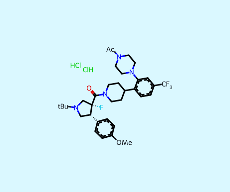 COc1ccc([C@@H]2CN(C(C)(C)C)C[C@@]2(F)C(=O)N2CCC(c3ccc(C(F)(F)F)cc3N3CCN(C(C)=O)CC3)CC2)cc1.Cl.Cl